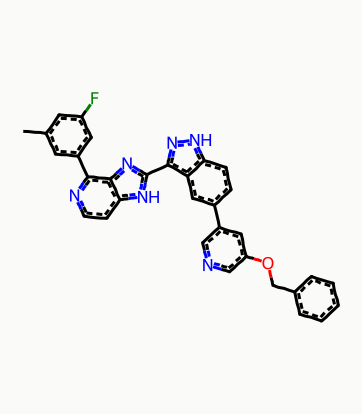 Cc1cc(F)cc(-c2nccc3[nH]c(-c4n[nH]c5ccc(-c6cncc(OCc7ccccc7)c6)cc45)nc23)c1